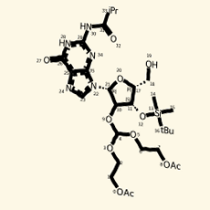 CC(=O)OCCOC(OCCOC(C)=O)OC1[C@@H](O[Si](C)(C)C(C)(C)C)[C@@H](CO)O[C@H]1n1cnc2c(=O)[nH]c(NC(=O)C(C)C)nc21